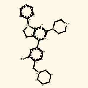 Oc1cc(-c2nc(N3CCOCC3)nc3c2CCN3c2ccncc2)ccc1CN1CCCCC1